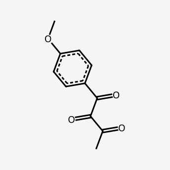 COc1ccc(C(=O)C(=O)C(C)=O)cc1